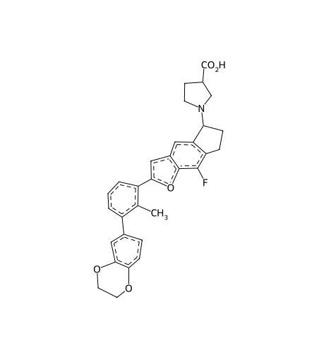 Cc1c(-c2ccc3c(c2)OCCO3)cccc1-c1cc2cc3c(c(F)c2o1)CCC3N1CCC(C(=O)O)C1